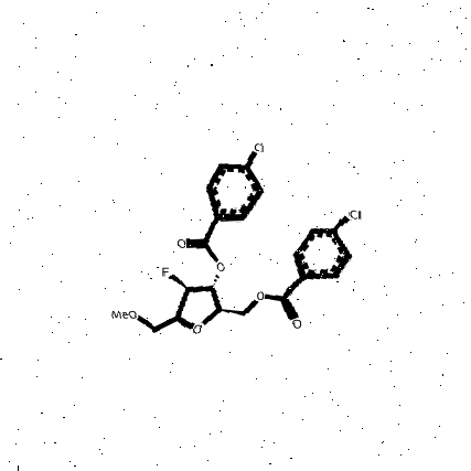 COCC1O[C@H](COC(=O)c2ccc(Cl)cc2)[C@@H](OC(=O)c2ccc(Cl)cc2)[C@@H]1F